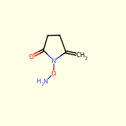 C=C1CCC(=O)N1ON